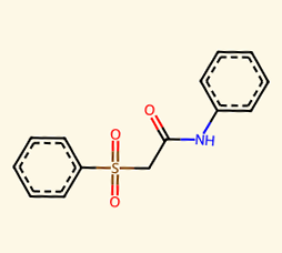 O=C(CS(=O)(=O)c1ccccc1)Nc1ccccc1